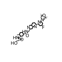 Cc1ccc(C(=O)NCc2cc3nc(-c4cc(F)cc(N5C[C@@H](C)O[C@@H](C)C5)n4)ccc3cn2)cc1S(=N)(=O)CCO